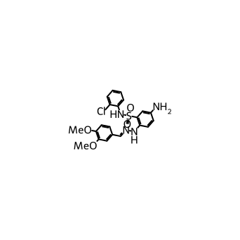 COc1ccc(/C=N/Nc2ccc(N)cc2S(=O)(=O)Nc2ccccc2Cl)cc1OC